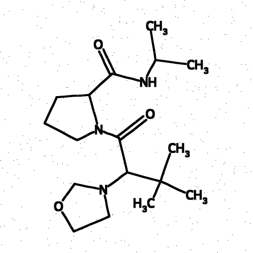 CC(C)NC(=O)C1CCCN1C(=O)C(N1CCOC1)C(C)(C)C